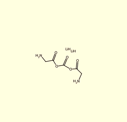 NCC(=O)OC(=O)OC(=O)CN.[LiH].[LiH]